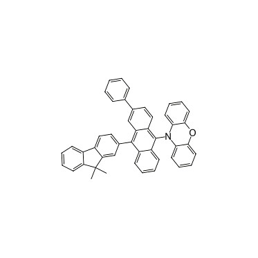 CC1(C)c2ccccc2-c2ccc(-c3c4ccccc4c(N4c5ccccc5Oc5ccccc54)c4ccc(-c5ccccc5)cc34)cc21